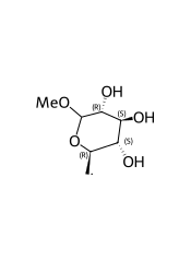 [CH2][C@H]1OC(OC)[C@H](O)[C@@H](O)[C@@H]1O